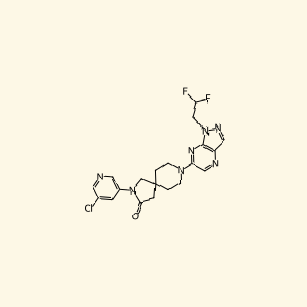 O=C1CC2(CCN(c3cnc4cnn(CC(F)F)c4n3)CC2)CN1c1cncc(Cl)c1